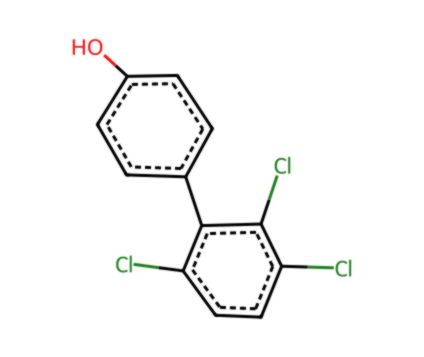 Oc1ccc(-c2c(Cl)ccc(Cl)c2Cl)cc1